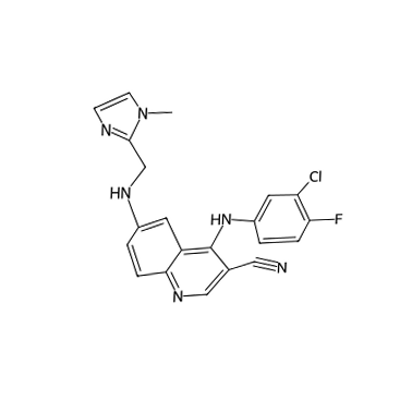 Cn1ccnc1CNc1ccc2ncc(C#N)c(Nc3ccc(F)c(Cl)c3)c2c1